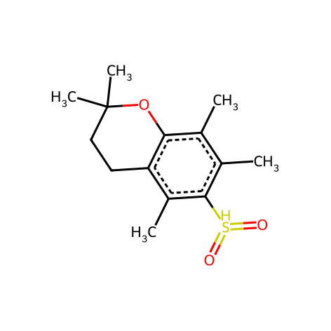 Cc1c(C)c([SH](=O)=O)c(C)c2c1OC(C)(C)CC2